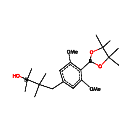 COc1cc(CC(C)(C)[Si](C)(C)O)cc(OC)c1B1OC(C)(C)C(C)(C)O1